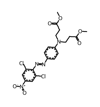 COC(=O)CCN(CCC(=O)OC)c1ccc(N=Nc2c(Cl)cc([N+](=O)[O-])cc2Cl)cc1